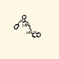 c1ccc(Cn2cc(CNCCCNc3ccc4ccccc4n3)c3ccccc32)cc1